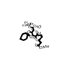 CC[Si](CC)(CC)O[C@H](C=O)[C@@H]1O[C@H]2CCC(CC(=O)OC)O[C@@H]2C2OC3(CCCCC3)OC21